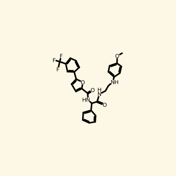 COc1ccc(NCCNC(=O)C(NC(=O)c2ccc(-c3cccc(C(F)(F)F)c3)o2)c2ccccc2)cc1